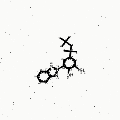 CC(C)(C)CC(C)(C)c1cc(N)c(O)c(-n2nc3ccccc3n2)c1